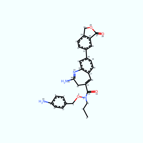 CCCN(OCc1ccc(N)cc1)C(=O)C1=Cc2ccc(-c3ccc4c(c3)C(=O)OC4)cc2N=C(N)C1